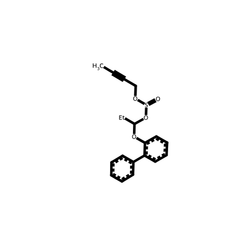 CC#CCOS(=O)OC(CC)Oc1ccccc1-c1ccccc1